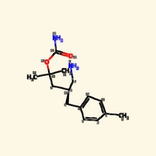 Cc1ccc(C[C@H](CN)CC(C)(C)OC(N)=O)cc1